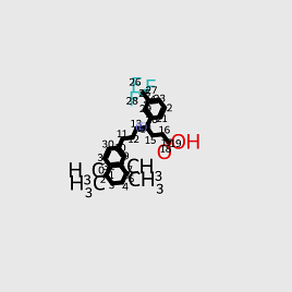 CC1(C)CCC(C)(C)c2cc(CC/C=C(\CCC(=O)O)c3cccc(C(F)(F)F)c3)ccc21